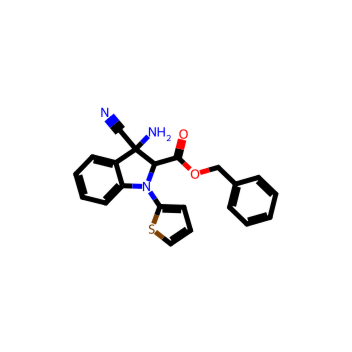 N#CC1(N)c2ccccc2N(c2cccs2)C1C(=O)OCc1ccccc1